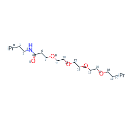 CC(C)CCNC(=O)CCOCCOCCOCCOCCC(C)C